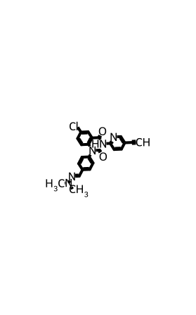 C#Cc1ccc(NC(=O)c2cc(Cl)ccc2N(C=O)c2ccc(C=NN(C)C)cc2)nc1